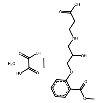 COC(=O)c1ccccc1OCC(O)CNCCC(=O)O.O.O=C(O)C(=O)O.[CH2]C